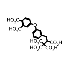 O=C(O)c1ccc(Oc2cccc(CC(C(=O)O)C(C(=O)O)(C(=O)O)C(=O)O)c2)cc1C(=O)O